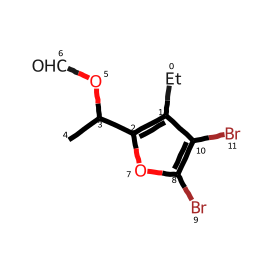 CCc1c(C(C)OC=O)oc(Br)c1Br